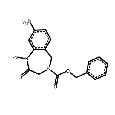 CCN1C(=O)CN(C(=O)OCc2ccccc2)Cc2ccc(N)cc21